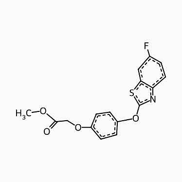 COC(=O)COc1ccc(Oc2nc3ccc(F)cc3s2)cc1